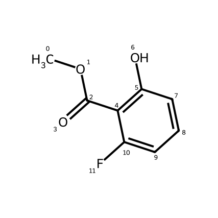 COC(=O)c1c(O)cccc1F